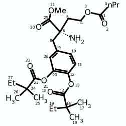 CCCC(=O)OCC[C@@](N)(Cc1ccc(OC(=O)C(C)(C)CC)c(OC(=O)C(C)(C)CC)c1)C(=O)OC